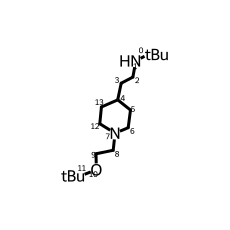 CC(C)(C)NCCC1CCN(CCOC(C)(C)C)CC1